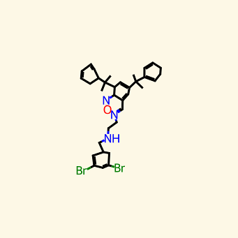 CC(C)(C1=CCCC=C1)C1=CC(C(C)(C)C2C=CC=CC2)C(N=O)C(/C=N/CCNCC2C=C(Br)C=C(Br)C2)=C1